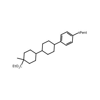 CCCCCc1ccc(C2CCC(C3CCC(C)(C(=O)OCC)CC3)CC2)cc1